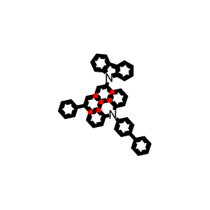 c1ccc(-c2ccc(-c3ccccc3N(c3ccc(-c4ccccc4)cc3)c3ccccc3-c3ccc(-n4c5ccccc5c5ccccc54)cc3)cc2)cc1